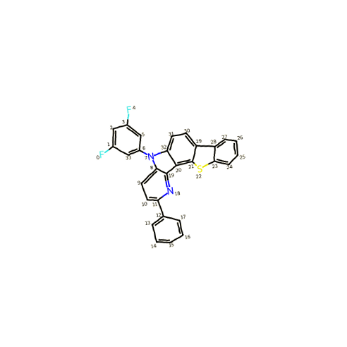 Fc1cc(F)cc(-n2c3ccc(-c4ccccc4)nc3c3c4sc5ccccc5c4ccc32)c1